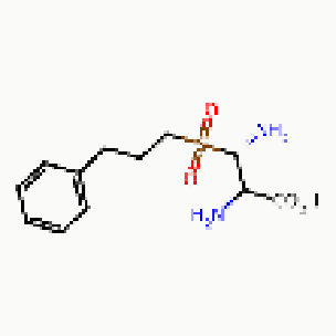 NC(C(=O)O)[C@@H](N)S(=O)(=O)CCCc1ccccc1